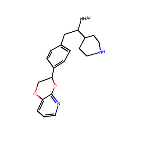 CC(=O)NC(Cc1ccc(C2COc3cccnc3O2)cc1)C1CCNCC1